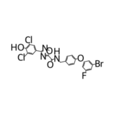 O=C(NCc1ccc(Oc2cc(F)cc(Br)c2)cc1)c1nc(-c2cc(Cl)c(O)c(Cl)c2)no1